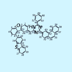 C1=Cc2oc3cccc(-c4ccc5c(c4)sc4ccccc45)c3c2C/C1=C/C1=NC(c2ccc3ccc4ccccc4c3c2)=NC(c2ccccc2)N1